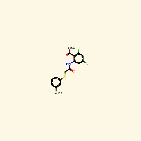 COC(=O)c1c(Cl)cc(Cl)cc1NC(=O)CSc1cccc(OC)c1